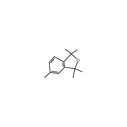 Cc1ccc2c(c1)C(C)(C)OC2(C)C